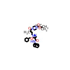 C/C(=C\Cn1ncc(C(=O)NC2C3CC4CC(C3)CC2C4)c1OCC1CCCCC1)C(=O)N1CCN(C(=O)OC(C)(C)C)CC1